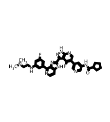 CN(C)CCNc1cc(F)cc(-c2nccc3[nH]c(-c4n[nH]c5ncc(-c6cncc(NC(=O)C7CCCC7)c6)c(F)c45)nc23)c1